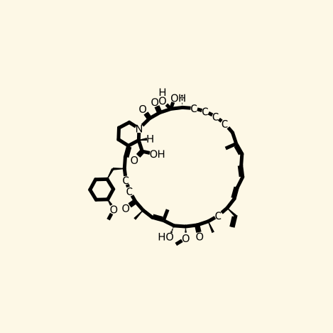 C=C[C@@H]1/C=C/C=C/C=C(\C)CCCCC[C@@H](C)C(O)(O)C(=O)C(=O)N2CCC/C(=C/[C@H](C[C@@H]3CCC[C@H](OC)C3)CCC(=O)[C@H](C)/C=C(\C)[C@@H](O)[C@@H](OC)C(=O)[C@H](C)C1)[C@H]2C(=O)O